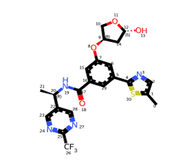 Cc1cnc(-c2cc(O[C@H]3CO[C@H](O)C3)cc(C(=O)N[C@H](C)c3cnc(C(F)(F)F)nc3)c2)s1